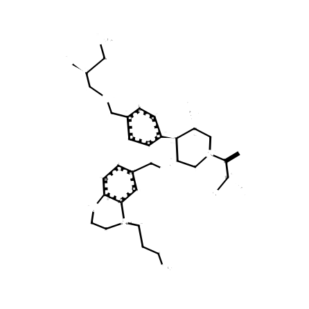 [CH2][C@@H]1CN(C(=O)[C@@H](N)C(C)C)C[C@H](OCc2ccc3c(c2)N(CCCOC)CCO3)[C@H]1c1ccc(COC[C@@H](C)COC)cc1